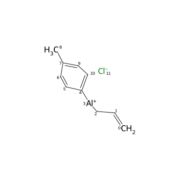 C=C[CH2][Al+][c]1ccc(C)cc1.[Cl-]